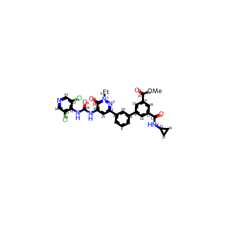 CCn1nc(-c2cccc(-c3cc(C(=O)NC4CC4)cc(C(=O)OC)c3)c2)cc(NC(=O)Nc2c(Cl)cncc2Cl)c1=O